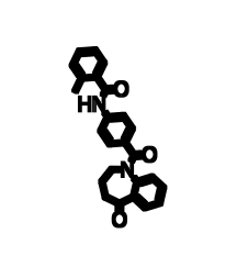 Cc1ccccc1C(=O)Nc1ccc(C(=O)N2CCCC(=O)c3ccccc32)cc1